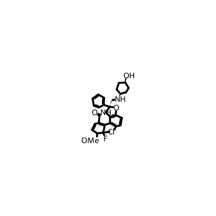 COC1C=CC(C(N)=O)=C(c2c(Cl)ccc3c2C[C@@](CN[C@H]2CC[C@H](O)CC2)(c2ccccc2)O3)C1(C)F